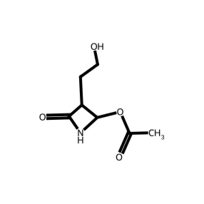 CC(=O)OC1NC(=O)C1CCO